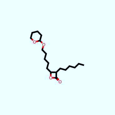 CCCCCCC1C(=O)OC1CCCCCOC1CCCCO1